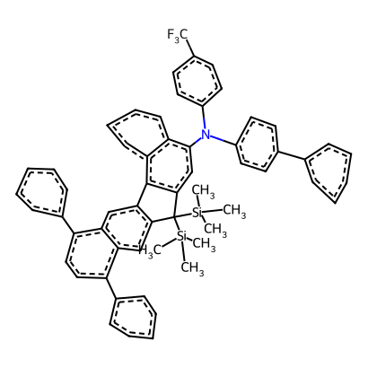 C[Si](C)(C)C1([Si](C)(C)C)c2cc3c(-c4ccccc4)ccc(-c4ccccc4)c3cc2-c2c1cc(N(c1ccc(-c3ccccc3)cc1)c1ccc(C(F)(F)F)cc1)c1ccccc21